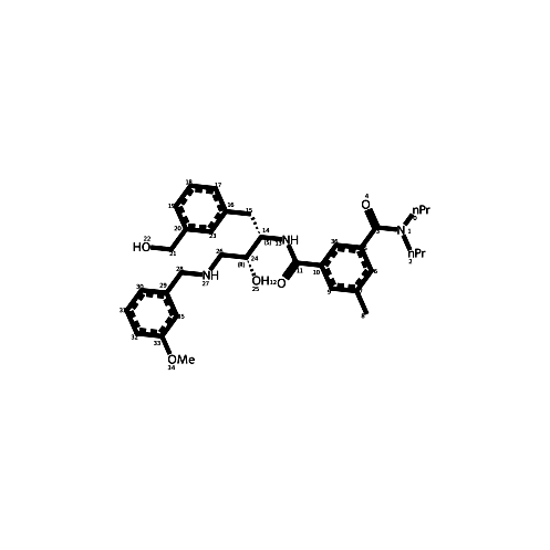 CCCN(CCC)C(=O)c1cc(C)cc(C(=O)N[C@@H](Cc2cccc(CO)c2)[C@H](O)CNCc2cccc(OC)c2)c1